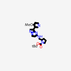 COc1ccncc1-c1cnn2ccc(NCC3CCCN3C(=O)OC(C)(C)C)nc12